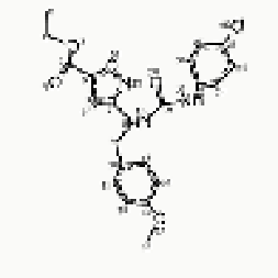 CCOC(=O)c1nc(C(Cc2ccc(OC)cc2)NC(=O)Nc2ccc(Cl)cc2)no1